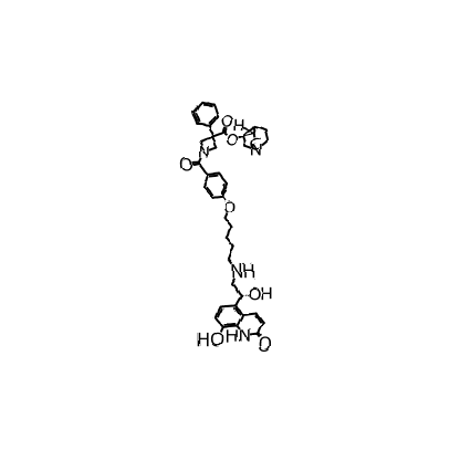 O=C(c1ccc(OCCCCCNC[C@H](O)c2ccc(O)c3[nH]c(=O)ccc23)cc1)N1CC(C(=O)O[C@H]2CN3CCC2CC3)(c2ccccc2)C1